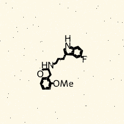 COc1cccc2c1CC(NCCCc1c[nH]c3ccc(F)cc13)CO2